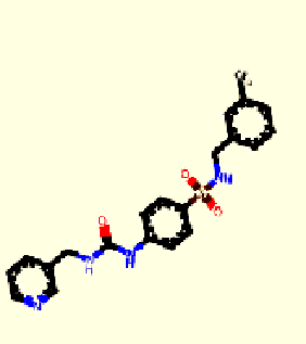 O=C(NCc1cccnc1)Nc1ccc(S(=O)(=O)NCc2cccc(C(F)(F)F)c2)cc1